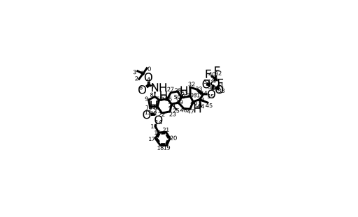 CC(C)(C)OC(=O)N[C@@H]1CC[C@]2(C(=O)OCc3ccccc3)CC[C@]3(C)[C@H](CC[C@@H]4[C@@]5(C)CC=C(OS(=O)(=O)C(F)(F)F)C(C)(C)[C@@H]5CC[C@]43C)[C@@H]12